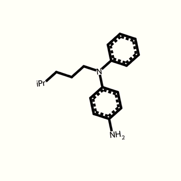 CC(C)CCCN(c1ccccc1)c1ccc(N)cc1